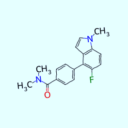 CN(C)C(=O)c1ccc(-c2c(F)ccc3c2ccn3C)cc1